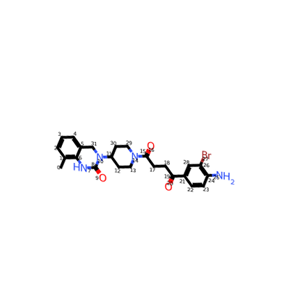 Cc1cccc2c1NC(=O)N(C1CCN(C(=O)CCC(=O)c3ccc(N)c(Br)c3)CC1)C2